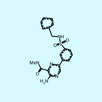 CNC(=O)c1nc(-c2cccc(S(=O)(=O)NCc3ccccc3)c2)cnc1N